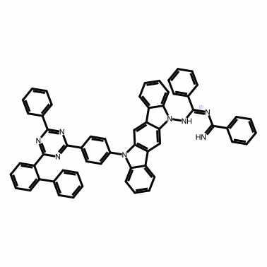 N=C(/N=C(\Nn1c2ccccc2c2cc3c(cc21)c1ccccc1n3-c1ccc(-c2nc(-c3ccccc3)nc(-c3ccccc3-c3ccccc3)n2)cc1)c1ccccc1)c1ccccc1